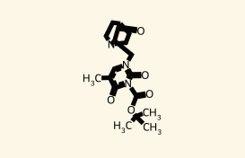 Cc1cn(CC2C(=O)C3CCN2CC3)c(=O)n(C(=O)OC(C)(C)C)c1=O